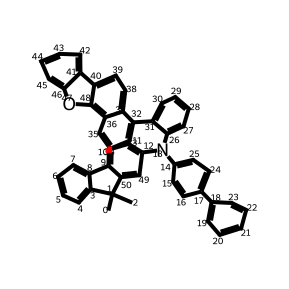 CC1(C)c2ccccc2-c2ccc(N(c3ccc(-c4ccccc4)cc3)c3ccccc3-c3cccc4c3ccc3c5ccccc5oc43)cc21